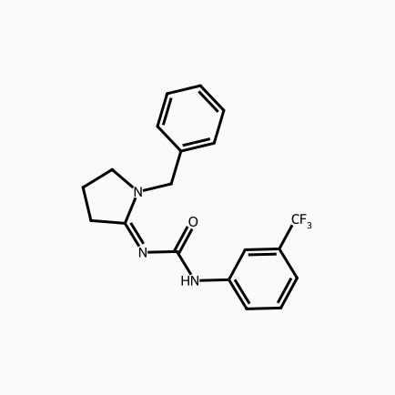 O=C(/N=C1/CCCN1Cc1ccccc1)Nc1cccc(C(F)(F)F)c1